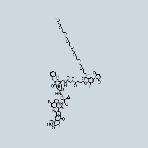 CC[C@@]1(O)C(=O)OCc2c1cc1n(c2=O)Cc2c-1nc1cc(F)c3c(c1c2[C@H](C)NC(=O)[C@H](OCNC(=O)CNC(=O)[C@H](Cc1ccccc1)NC(=O)CNC(=O)CNC(=O)CCCOc1c(F)cc(N2C(=O)C=CC2=O)cc1C(=O)NCCOCCOCCOCCOCCOCCOCCOCCOC)C1CC1)CCC3